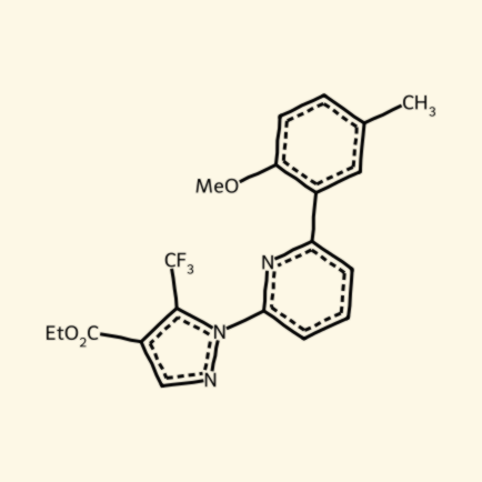 CCOC(=O)c1cnn(-c2cccc(-c3cc(C)ccc3OC)n2)c1C(F)(F)F